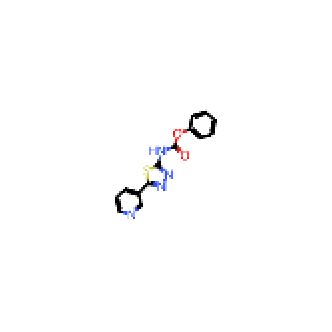 O=C(Nc1nnc(-c2cccnc2)s1)Oc1ccccc1